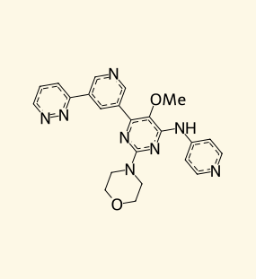 COc1c(Nc2ccncc2)nc(N2CCOCC2)nc1-c1cncc(-c2cccnn2)c1